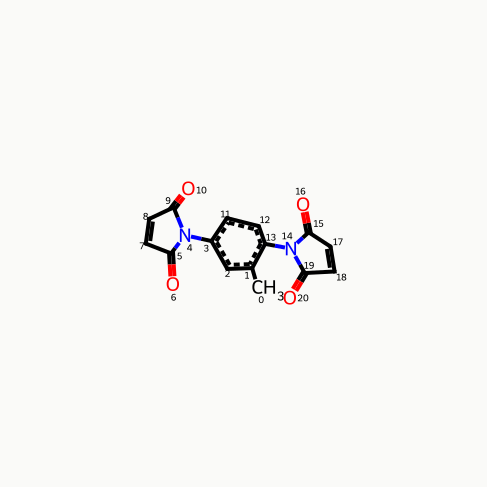 Cc1cc(N2C(=O)C=CC2=O)ccc1N1C(=O)C=CC1=O